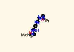 CNC(C(=O)N1CCC[C@H]1c1ncc(-c2ccc(-c3ncc(-c4cnc([C@@H]5CCCN5C(=O)CC(C)C)[nH]4)cn3)cc2)[nH]1)C(C)C